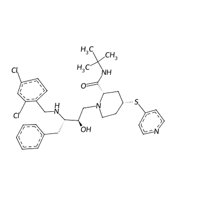 CC(C)(C)NC(=O)[C@@H]1C[C@H](Sc2ccncc2)CCN1C[C@@H](O)[C@H](Cc1ccccc1)NCc1ccc(Cl)cc1Cl